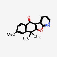 COc1ccc2c(c1)C(C)(C)c1oc3ncccc3c1C2=O